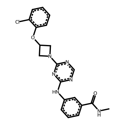 CNC(=O)c1cccc(Nc2ncnc(N3CC(Oc4ccccc4Cl)C3)n2)c1